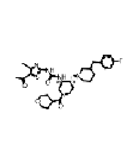 CC(=O)c1sc(NC(=O)N[C@H]2CN(C(=O)C3CCOCC3)CC[C@H]2CN2CCCC(Cc3ccc(F)cc3)C2)nc1C